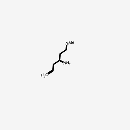 C=CCC(N)CCNC